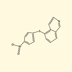 O=[N+]([O-])c1ccc(Sc2cccc3cnccc23)cc1